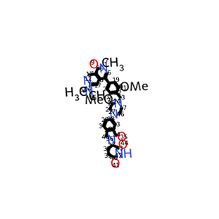 COc1cc(-c2cn(C)c(=O)c3cnc(N(C)C)cc23)cc(OC)c1CN1CCN(c2ccc3c(c2)C(=O)N(C2CCC(=O)NC2=O)C3)CC1